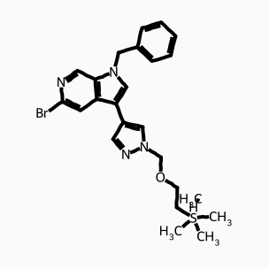 C[SH](C)(C)(C)CCOCn1cc(-c2cn(Cc3ccccc3)c3cnc(Br)cc23)cn1